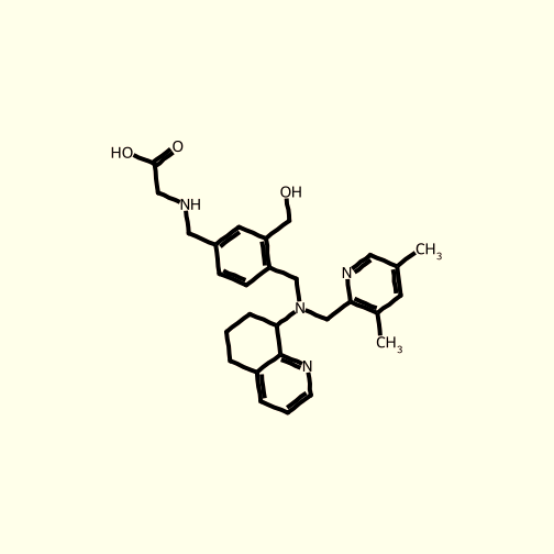 Cc1cnc(CN(Cc2ccc(CNCC(=O)O)cc2CO)C2CCCc3cccnc32)c(C)c1